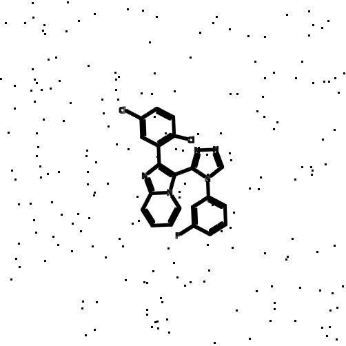 Fc1cccc(-n2cnnc2-c2c(-c3cc(Cl)ccc3Cl)nc3ccccn23)c1